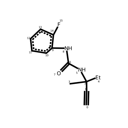 C#CC(C)(CC)NC(=O)Nc1ccccc1F